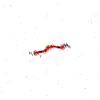 C=C(C)C(=O)OCCCCCCCCCCCCCOc1ccc(C(=O)Oc2c(F)c(F)c(OC(=O)c3ccc(OCCCCCCCCCCCCCOC(=O)C(=C)C)cc3)c(F)c2F)cc1